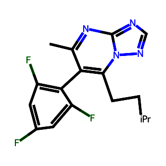 Cc1nc2ncnn2c(CCC(C)C)c1-c1c(F)cc(F)cc1F